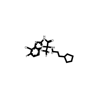 O=C(CCC1CCCC1)NC1(C(F)(F)F)C(=O)Nc2nc3c(Cl)c(F)ccc3n21